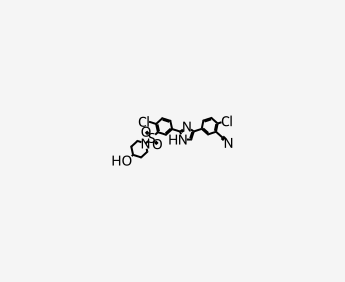 N#Cc1cc(-c2c[nH]c(-c3ccc(Cl)c(S(=O)(=O)N4CCC(O)CC4)c3)n2)ccc1Cl